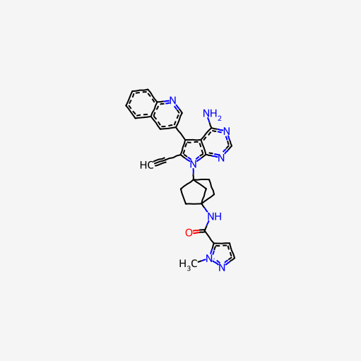 C#Cc1c(-c2cnc3ccccc3c2)c2c(N)ncnc2n1C12CCC(NC(=O)c3ccnn3C)(CC1)C2